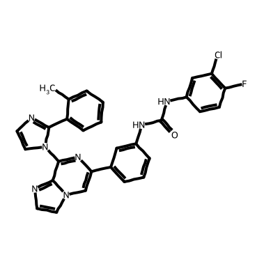 Cc1ccccc1-c1nccn1-c1nc(-c2cccc(NC(=O)Nc3ccc(F)c(Cl)c3)c2)cn2ccnc12